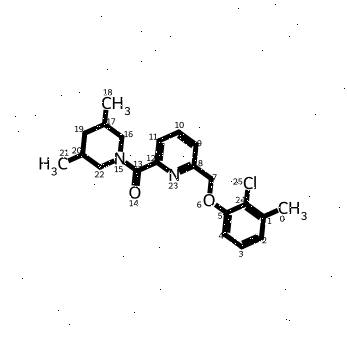 Cc1cccc(OCc2cccc(C(=O)N3CC(C)CC(C)C3)n2)c1Cl